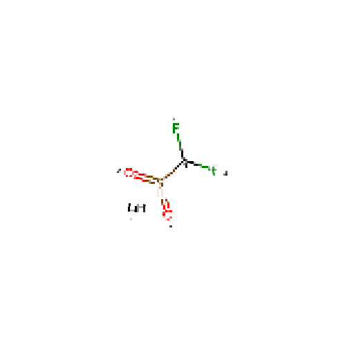 O=[SH](=O)C(F)F.[LiH]